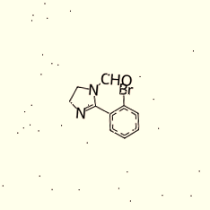 O=CN1CCN=C1c1ccccc1Br